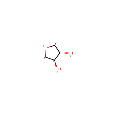 O[C@H]1COC[C@@H]1O